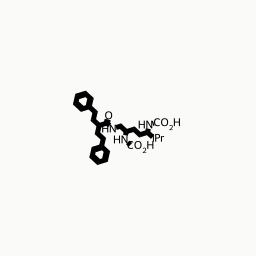 CC(C)C(CCC(CNC(=O)C(CCc1ccccc1)CCc1ccccc1)NC(=O)O)NC(=O)O